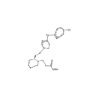 COC(=O)CCN1CCCC[C@H]1COc1ccc(Oc2ccc(Cl)cc2)cc1